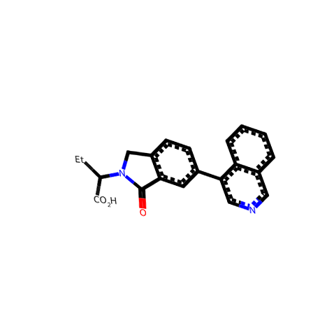 CCC(C(=O)O)N1Cc2ccc(-c3cncc4ccccc34)cc2C1=O